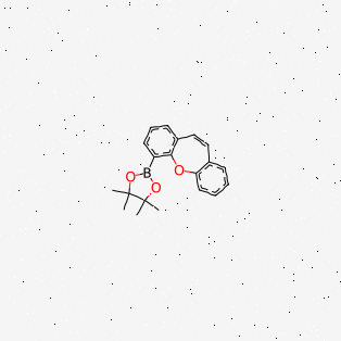 CC1(C)OB(c2cccc3c2Oc2ccccc2C=C3)OC1(C)C